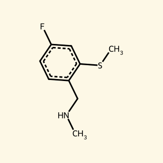 CNCc1ccc(F)cc1SC